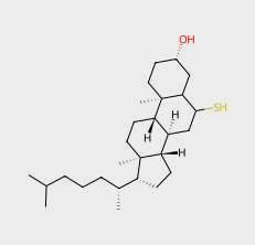 CC(C)CCC[C@@H](C)[C@H]1CC[C@H]2[C@@H]3CC(S)C4C[C@@H](O)CC[C@]4(C)[C@H]3CC[C@]12C